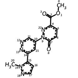 COC(=O)c1ccc(=O)n(-c2cnnc(-c3ccnn3C)c2)n1